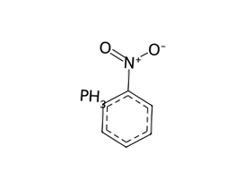 O=[N+]([O-])c1ccccc1.P